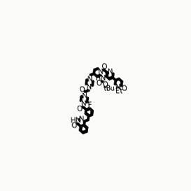 CCN1CC(c2cnc(C(=O)N3CCC(CN4CCN(CC(=O)N5CCN(C(=O)c6cc(Cc7n[nH]c(=O)c8ccccc78)ccc6F)CC5)CC4)CC3)c(NC(=O)OC(C)(C)C)c2)CCC1=O